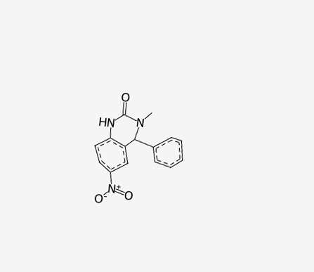 CN1C(=O)Nc2ccc([N+](=O)[O-])cc2C1c1ccccc1